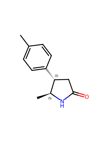 Cc1ccc([C@@H]2CC(=O)N[C@H]2C)cc1